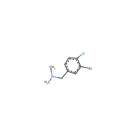 CC(=O)c1cc(CN(C)C)ccc1Cl